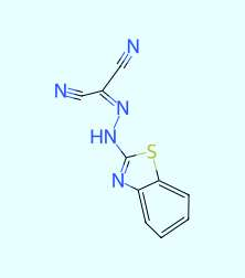 N#CC(C#N)=NNc1nc2ccccc2s1